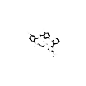 CNc1ncbc(-c2cccnc2Oc2ccc(F)c(C(=O)Nc3cc(Br)ccc3N(C)CCCN(C)C)c2)n1